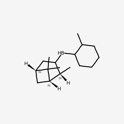 CC1CCCCC1BC1C[C@H]2C[C@@H]([C@H]1C)C2(C)C